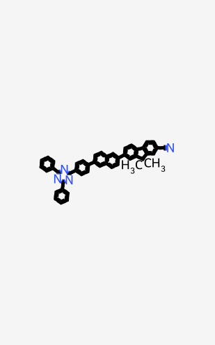 CC1(C)c2cc(C#N)ccc2-c2ccc(-c3ccc4cc(-c5ccc(-c6nc(-c7ccccc7)nc(-c7ccccc7)n6)cc5)ccc4c3)cc21